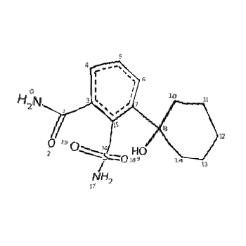 NC(=O)c1cccc(C2(O)CCCCC2)c1S(N)(=O)=O